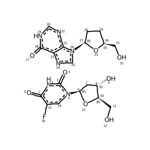 O=c1[nH]c(=O)n([C@H]2C[C@H](O)[C@@H](CO)O2)cc1F.O=c1[nH]cnc2c1ncn2[C@H]1CC[C@@H](CO)O1